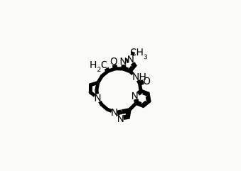 C=C1CC2CCN(CCn3cc(cn3)-c3cccc(n3)C(=O)Nc3cn(C)nc3C1=O)C2